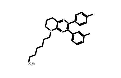 CCOC(=O)CCCCCCN1CCCc2nc(-c3ccc(C)cc3)c(-c3cccc(C)c3)nc21